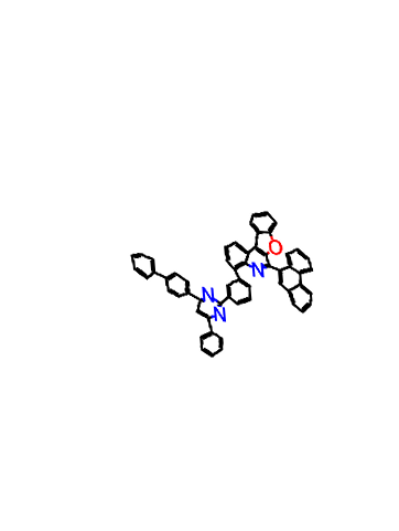 c1ccc(-c2ccc(-c3cc(-c4ccccc4)nc(-c4cccc(-c5cccc6c5nc(-c5cc7ccccc7c7ccccc57)c5oc7ccccc7c56)c4)n3)cc2)cc1